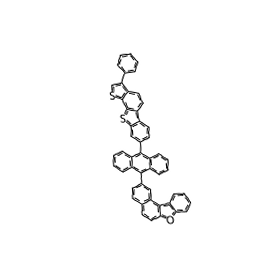 c1ccc(-c2csc3c2ccc2c4ccc(-c5c6ccccc6c(-c6ccc7ccc8oc9ccccc9c8c7c6)c6ccccc56)cc4sc23)cc1